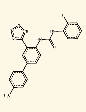 Cc1ccc(-c2ccc(NC(=O)Nc3ccccc3F)c(-c3nnn[nH]3)c2)cc1